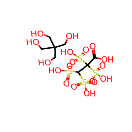 O=C(O)C(C(S(=O)(=O)O)S(=O)(=O)O)(S(=O)(=O)O)S(=O)(=O)O.OCC(CO)(CO)CO